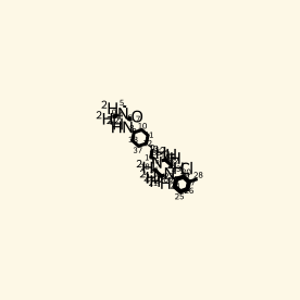 [2H]C([2H])([2H])N(C)C(=O)N[C@H]1CC[C@H](CCN2C([2H])([2H])C([2H])([2H])N(c3cccc(C)c3Cl)C([2H])([2H])C2([2H])[2H])CC1